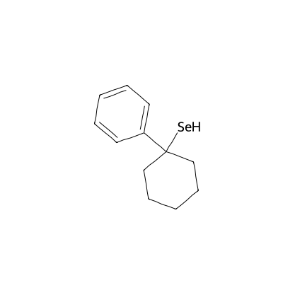 [SeH]C1(c2ccccc2)CCCCC1